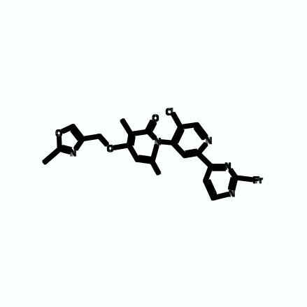 Cc1nc(COc2cc(C)n(-c3cc(-c4ccnc(C(C)C)n4)ncc3Cl)c(=O)c2C)co1